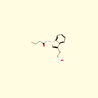 CCCC(=O)Nn1cc(CC[N+](=O)[O-])c2ccccc21